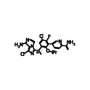 C=C(N)c1ccc(-c2c(F)c(Cl)cc([C@@H](C)c3nc(Cl)c4c(N)nccn34)c2OC(C)C)cn1